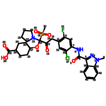 Cn1nc(C(=O)Nc2cc(F)c(CC(=O)C(OC3CCC(C(=O)O)CC3)(N3CCCC3)S(C)(=O)=O)cc2Cl)c2ccccc21